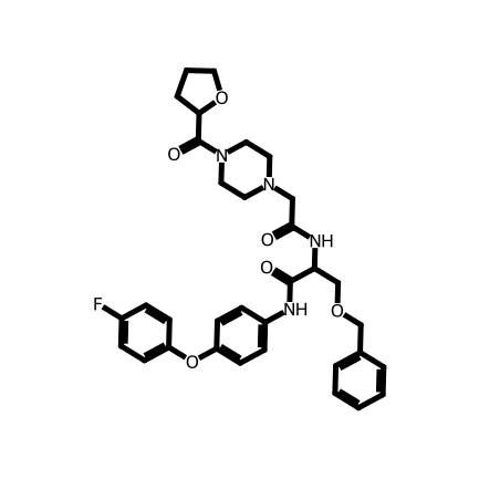 O=C(CN1CCN(C(=O)C2CCCO2)CC1)NC(COCc1ccccc1)C(=O)Nc1ccc(Oc2ccc(F)cc2)cc1